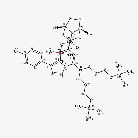 CC(C)(C)OC(=O)N1[C@@H]2CC[C@H]1C[C@H](c1cc(N(COCC[Si](C)(C)C)COCC[Si](C)(C)C)n3ncc(-c4ccc(Cl)nc4)c3n1)C2